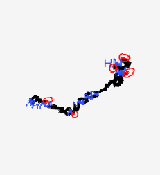 O=C(/C=C/c1cccnc1)NCCCCC1CCN(C(=O)c2ccc(N3CCC(N4CCN(CCCCCCCc5cccc6c5CN(C5CCC(=O)NC5=O)C6=O)CC4)CC3)nc2)CC1